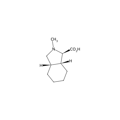 CN1C[C@H]2CCCC[C@H]2[C@@H]1C(=O)O